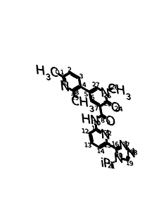 Cc1ccc(-c2cc(C(=O)Nc3cccc(-c4nncn4C(C)C)n3)c(=O)n(C)c2)c(C)n1